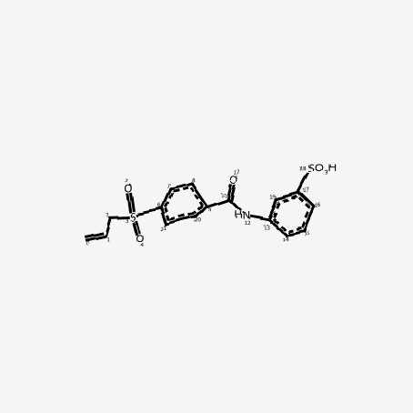 C=CCS(=O)(=O)c1ccc(C(=O)Nc2cccc(S(=O)(=O)O)c2)cc1